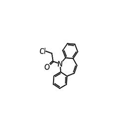 O=C(CCl)N1c2ccccc2C=Cc2ccccc21